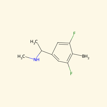 Bc1c(F)cc(C(C)NC)cc1F